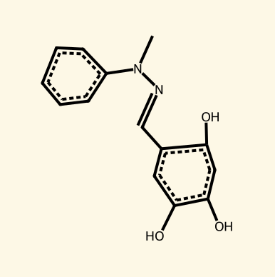 CN(N=Cc1cc(O)c(O)cc1O)c1ccccc1